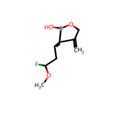 C=C1COB(O)/C1=C/CC(F)OC